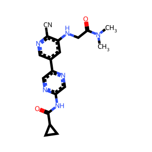 CN(C)C(=O)CNc1cc(-c2cnc(NC(=O)C3CC3)cn2)cnc1C#N